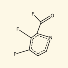 O=C(F)c1nccc(F)c1F